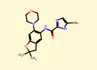 CC1(C)Cc2cc(NC(=O)c3ncc(C(C)(C)C)[nH]3)c(N3CCOCC3)cc2O1